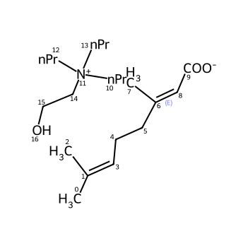 CC(C)=CCC/C(C)=C/C(=O)[O-].CCC[N+](CCC)(CCC)CCO